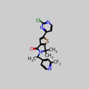 CC(c1ccnc(C(F)(F)F)c1)N1C(=O)c2cc(-c3ccnc(Cl)n3)sc2C1(C)C